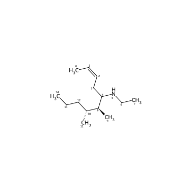 C/C=C\CC(NCC)[C@@H](C)[C@H](C)CCC